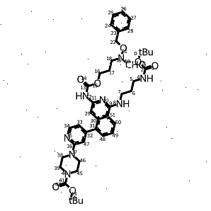 CC(C)(C)OC(=O)NCCCNc1nc(NC(=O)OCCCN(C=O)OCc2ccccc2)cc2c(-c3ccnc(N4CCN(C(=O)OC(C)(C)C)CC4)c3)cccc12